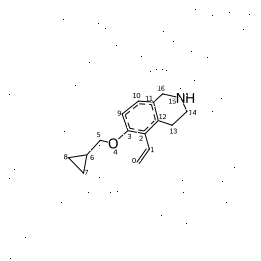 C=Cc1c(OCC2CC2)ccc2c1CCNC2